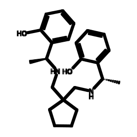 C[C@H](NCC1(CN[C@@H](C)c2ccccc2O)CCCC1)c1ccccc1O